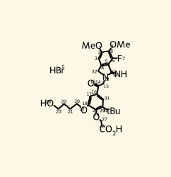 Br.COc1cc2c(c(F)c1OC)C(=N)N(CC(=O)c1cc(OCCCCO)c(OCC(=O)O)c(C(C)(C)C)c1)C2